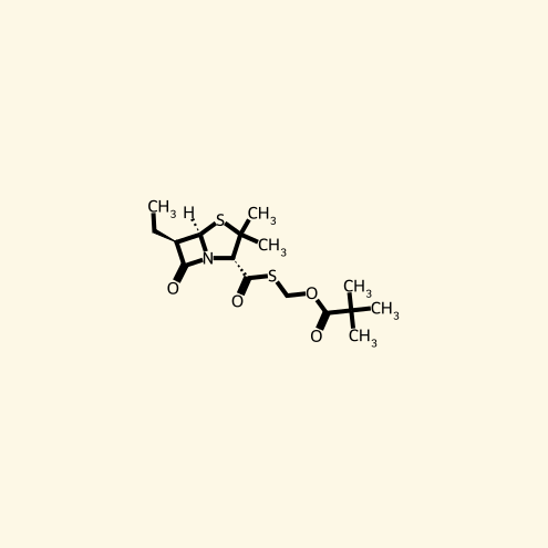 CC[C@@H]1C(=O)N2[C@@H]1SC(C)(C)[C@@H]2C(=O)SCOC(=O)C(C)(C)C